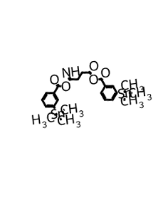 [CH3][Sn]([CH3])([CH3])[c]1cccc(C(=O)OC(=N)CCC(=O)OC(=O)c2ccc[c]([Sn]([CH3])([CH3])[CH3])c2)c1